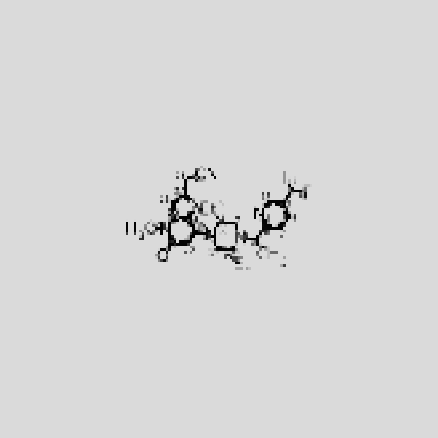 CC[C@H]1CN(C(C)c2ccc(C(F)F)cn2)[C@H](CC)CN1c1cc(=O)n(C)n2cc(CC#N)nc12